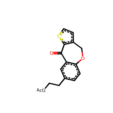 CC(=O)OCCc1ccc2c(c1)C(=O)c1sccc1CO2